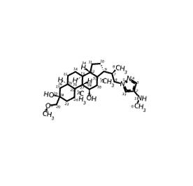 CNc1cnn(C[C@H](C)[C@H]2CC[C@H]3[C@@H]4CC[C@@H]5C[C@@](O)(COC)CC[C@]5(C)[C@H]4[C@H](O)C[C@]23C)c1